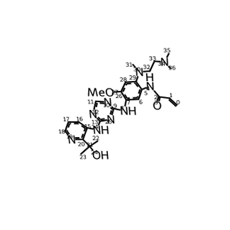 C=CC(=O)Nc1cc(Nc2ncnc(Nc3cccnc3C(C)(C)O)n2)c(OC)cc1N(C)CCN(C)C